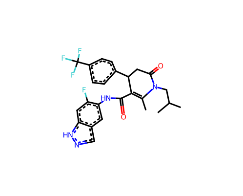 CC1=C(C(=O)Nc2cc3cn[nH]c3cc2F)C(c2ccc(C(F)(F)F)cc2)CC(=O)N1CC(C)C